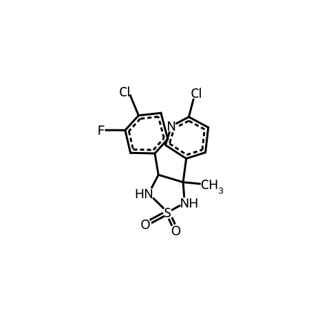 CC1(c2ccc(Cl)nc2)NS(=O)(=O)NC1c1ccc(Cl)c(F)c1